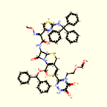 CON=C(C(=O)NC1C(=O)N2C(C(=O)OC(c3ccccc3)c3ccccc3)=C(C=C(S)c3n[nH]c(=O)c(=O)n3CCOC=O)CSC12)c1csc(NC(c2ccccc2)(c2ccccc2)c2ccccc2)n1